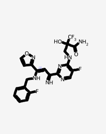 N=C(/C=C(\NCc1ccccc1F)c1ccon1)c1ncc(F)c(NCC(O)(C(N)=O)C(F)(F)F)n1